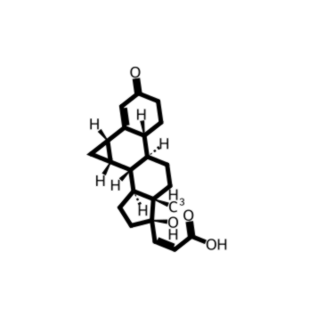 C[C@]12CC[C@H]3[C@@H]([C@@H]4C[C@@H]4C4=CC(=O)CC[C@@H]43)[C@@H]1CC[C@@]2(O)/C=C\C(=O)O